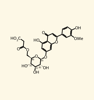 COc1cc(-c2cc(=O)c3c(O)cc(O[C@@H]4O[C@H](COC(=O)CC(=O)O)[C@@H](O)[C@H](O)[C@H]4O)cc3o2)ccc1O